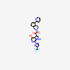 COc1cnc(-n2ccc(C(F)(F)F)n2)c2[nH]cc(C(=O)C(=O)N3CCc4c(cccc4-c4ccccn4)C3)c12